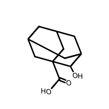 O=C(O)C12CC3CC(CC(C3)C1O)C2